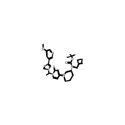 COc1cncc(-c2cn(C(C)n3ccc(N4CCC[C@@H](N(CC5CCC5)C(=O)OC(C)(C)C)C4)cc3=O)cn2)c1